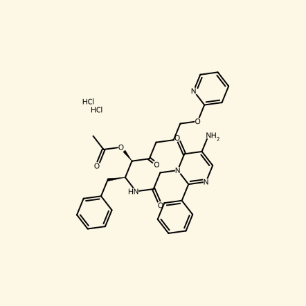 CC(=O)O[C@@H](C(=O)CCCOc1ccccn1)[C@H](Cc1ccccc1)NC(=O)Cn1c(-c2ccccc2)ncc(N)c1=O.Cl.Cl